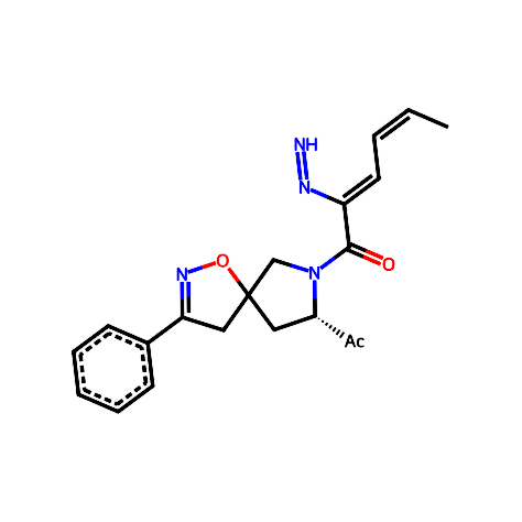 C/C=C\C=C(/N=N)C(=O)N1CC2(CC(c3ccccc3)=NO2)C[C@H]1C(C)=O